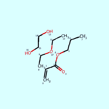 C=CC(=O)OCCC.CCOCC.OCCO